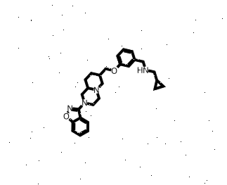 c1cc(CNCC2CC2)cc(OCC2CCC3CN(c4noc5ccccc45)CCN3C2)c1